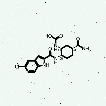 NC(=O)[C@H]1CC[C@H](NC(=O)c2cc3cc(Cl)ccc3[nH]2)[C@H](NC(=O)O)C1